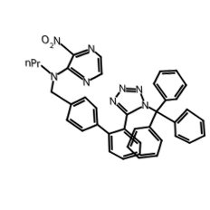 CCCN(Cc1ccc(-c2ccccc2-c2nnnn2C(c2ccccc2)(c2ccccc2)c2ccccc2)cc1)c1nccnc1[N+](=O)[O-]